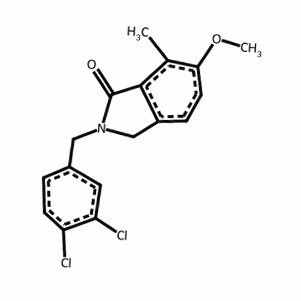 COc1ccc2c(c1C)C(=O)N(Cc1ccc(Cl)c(Cl)c1)C2